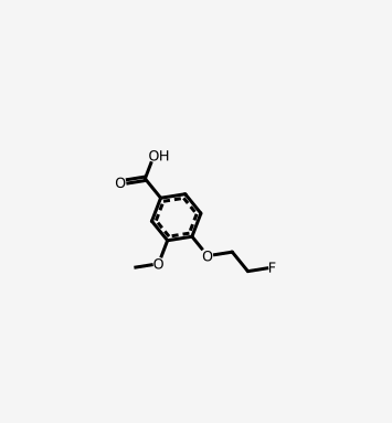 COc1cc(C(=O)O)ccc1OCCF